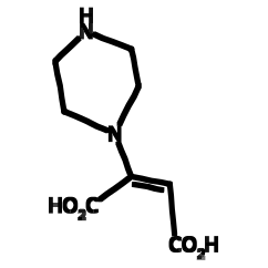 O=C(O)C=C(C(=O)O)N1CCNCC1